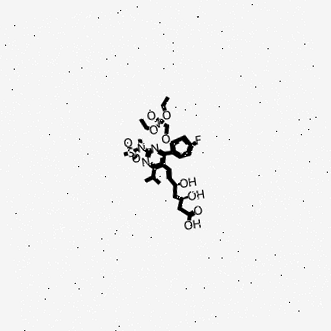 CCOP(=O)(COc1cc(F)ccc1-c1nc(N(C)S(C)(=O)=O)nc(C(C)C)c1/C=C/[C@@H](O)C[C@@H](O)CC(=O)O)OCC